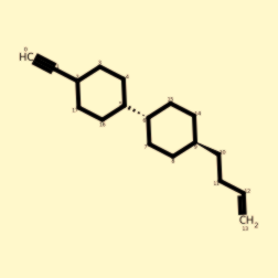 C#CC1CCC([C@H]2CC[C@H](CCC=C)CC2)CC1